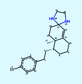 CCc1ccc(CC[C@H]2CCCC3=CC4(CC[C@@]32C)NCCN4)cc1